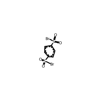 O=S(=O)(Br)c1ccc(S(=O)(=O)Br)cc1